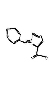 CCC(=O)C1=CC=CS1=Cc1ccccc1